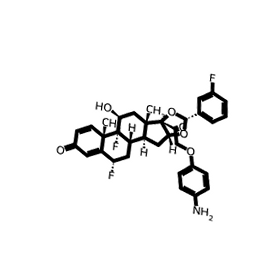 C[C@]12C=CC(=O)C=C1[C@@H](F)C[C@H]1[C@@H]3C[C@H]4O[C@@H](c5cccc(F)c5)O[C@@]4(C(=O)COc4ccc(N)cc4)[C@@]3(C)C[C@H](O)[C@@]12F